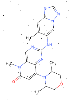 Cc1cc2ncnn2cc1Nc1ncc2c(n1)c(N1C(C)COCC1C)cc(=O)n2C